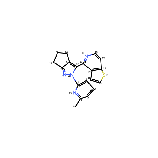 Cc1cccc(-n2nc3c(c2-c2nccc4sccc24)CCC3)n1